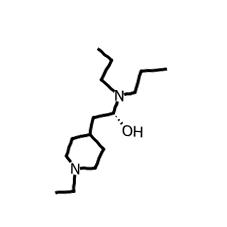 CCCN(CCC)[C@H](O)CC1CCN(CC)CC1